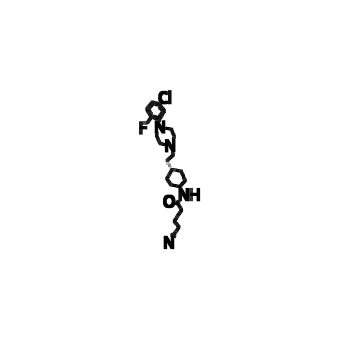 N#CCCCC(=O)N[C@H]1CC[C@H](CCN2CCN(c3cc(Cl)ccc3F)CC2)CC1